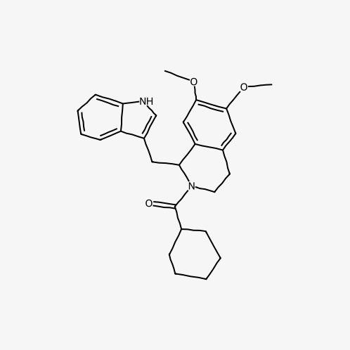 COc1cc2c(cc1OC)C(Cc1c[nH]c3ccccc13)N(C(=O)C1CCCCC1)CC2